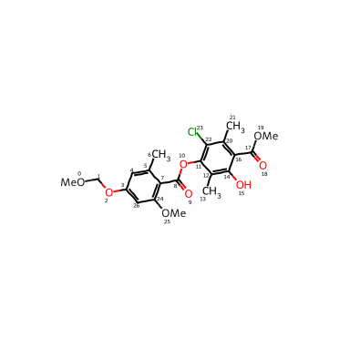 COCOc1cc(C)c(C(=O)Oc2c(C)c(O)c(C(=O)OC)c(C)c2Cl)c(OC)c1